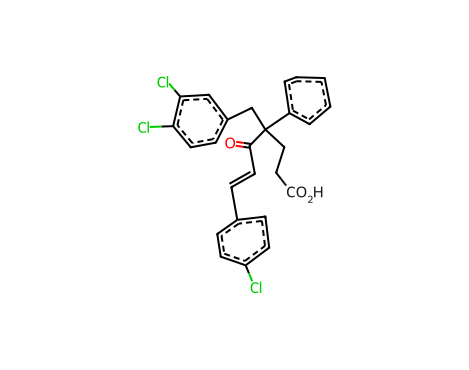 O=C(O)CCC(Cc1ccc(Cl)c(Cl)c1)(C(=O)C=Cc1ccc(Cl)cc1)c1ccccc1